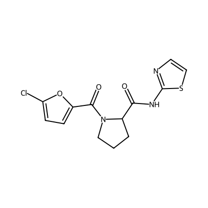 O=C(Nc1nccs1)C1CCCN1C(=O)c1ccc(Cl)o1